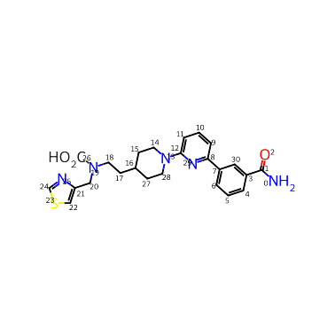 NC(=O)c1cccc(-c2cccc(N3CCC(CCN(Cc4cscn4)C(=O)O)CC3)n2)c1